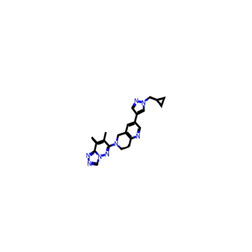 Cc1c(N2CCc3ncc(-c4cnn(CC5CC5)c4)cc3C2)nn2cnnc2c1C